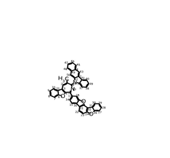 CC1=Cc2c(oc3ccccc23)C(c2ccc3c(c2)oc2c3ccc3oc4ccccc4c32)=NC1n1c2ccccc2c2cc3ccccc3cc21